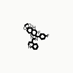 C[C@@H]1[C@H]2CCc3c(-c4ccc(F)cc4F)nc(-c4ccnc5ccccc45)nc3[C@]2(C)CCC12OCCO2